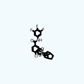 O=C(Nc1cc(F)c(F)c(F)c1)c1ccc(Cl)c(S(=O)(=O)C2CC3CCC(C2)C3(O)Cn2cccn2)c1